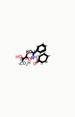 N#CC(N)c1ccccc1.O=C(O)C(O)C(O)C(=O)O.O=C1CCCCC1